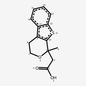 CC1(CC(=O)O)OCCc2c1sc1ccccc21